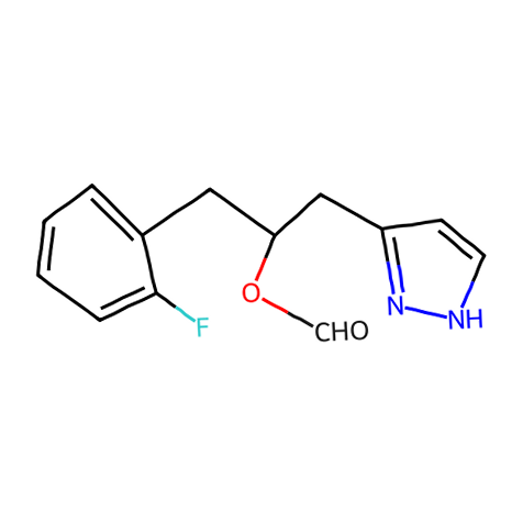 O=COC(Cc1cc[nH]n1)Cc1ccccc1F